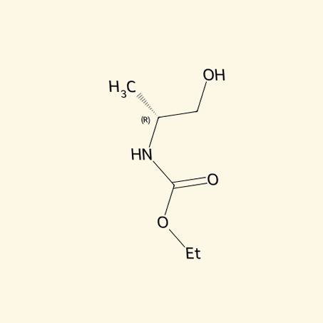 CCOC(=O)N[C@H](C)CO